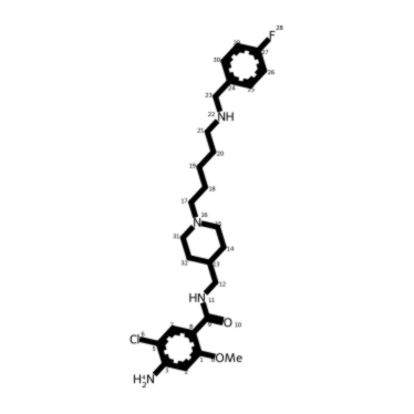 COc1cc(N)c(Cl)cc1C(=O)NCC1CCN(CCCCCNCc2ccc(F)cc2)CC1